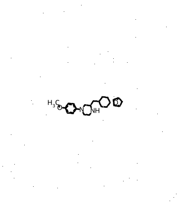 C1CC2CC1O2.COc1ccc(N2CCNC(CC3CCCCC3)C2)cc1